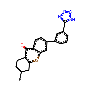 CCC1CCc2c(sc3cc(-c4cccc(-c5nnn[nH]5)c4)ccc3c2=O)C1